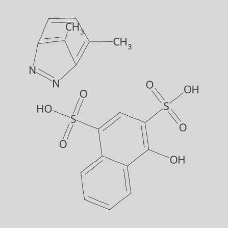 Cc1ccc2c(C)c1N=N2.O=S(=O)(O)c1cc(S(=O)(=O)O)c2ccccc2c1O